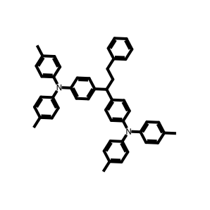 Cc1ccc(N(c2ccc(C)cc2)c2ccc(C(CCc3ccccc3)c3ccc(N(c4ccc(C)cc4)c4ccc(C)cc4)cc3)cc2)cc1